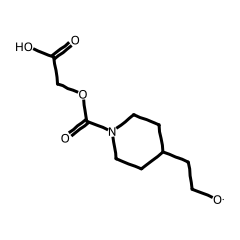 [O]CCC1CCN(C(=O)OCC(=O)O)CC1